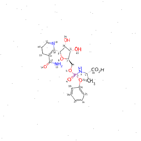 C[C@H](NP(=O)(OC[C@H]1O[C@H](C2=C(C(N)=O)CCC=N2)[C@H](O)[C@@H]1O)Oc1ccccc1)C(=O)O